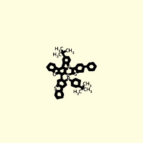 CC(C)(C)c1ccc(N2B3c4sc5cc(-c6ccccc6)ccc5c4-n4c5ccc(C(C)(C)C)cc5c5c6c(oc7ccccc76)c(c3c54)-c3cc4sc5ccccc5c4cc32)cc1